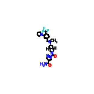 CN(Cc1ccc(C(F)(F)F)c(N2CCCC2)c1)[C@@H]1C[C@@H]2CN(C(=O)n3cc(C(N)=O)cn3)C[C@@H]2C1